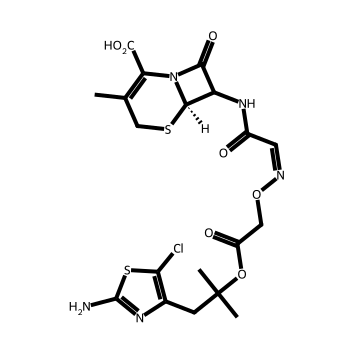 CC1=C(C(=O)O)N2C(=O)C(NC(=O)/C=N\OCC(=O)OC(C)(C)Cc3nc(N)sc3Cl)[C@H]2SC1